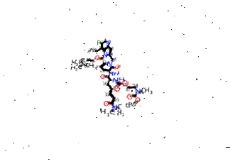 CC(C)Cc1c(F)cnc2cc(Cn3cccc(NC(=O)[C@H](CC/C=C/C(=O)N(C)C)NC(=O)OCCN(C)C(=O)OC(C)(C)C)c3=O)n(COCC[Si](C)(C)C)c12